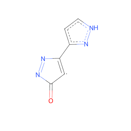 O=C1[C]=C(c2cc[nH]n2)N=N1